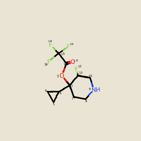 O=C(OC1(C2CC2)CCNCC1F)C(F)(F)F